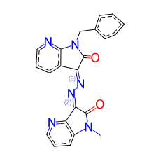 CN1C(=O)/C(=N\N=C2\C(=O)N(Cc3ccccc3)c3ncccc32)c2ncccc21